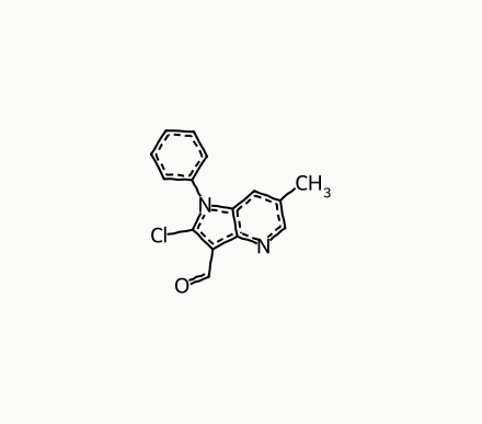 Cc1cnc2c(C=O)c(Cl)n(-c3ccccc3)c2c1